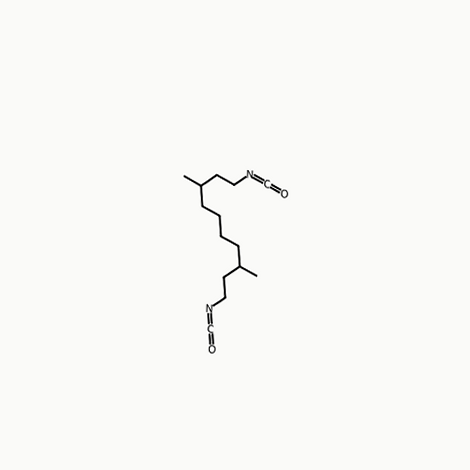 CC(CCCCC(C)CCN=C=O)CCN=C=O